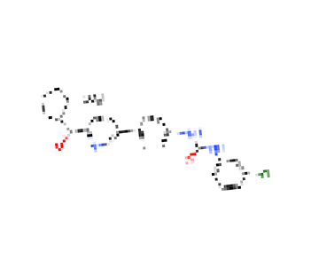 O=C(Nc1ccc(-c2ccc(C(=O)C3CCCC3C(=O)O)nc2)cc1)Nc1cccc(Cl)c1